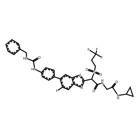 O=C(CNC(=O)C(c1nc2cc(F)c(-c3ccc(NC(=O)NCc4ccccc4)cc3)cc2s1)S(=O)(=O)CCC(F)(F)F)NC1CC1